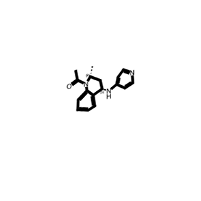 CC(=O)N1c2ccccc2[C@@H](Nc2ccncc2)C[C@H]1C